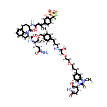 C/C(=C\C(=O)N[C@H]1CCc2cccc3c2N(C1=O)[C@H](C(=O)N[C@@H](CCC(N)=O)[C@@H](C)OCc1ccc(CCCNC(=O)COCCOCCCc2ccc4c(c2)n(C)c(=O)n4C2CCC(=O)NC2=O)cc1)C3)c1ccc(C(F)(F)P(=O)(O)O)cc1